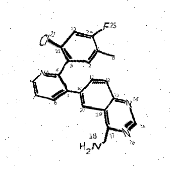 Cc1cc(-c2ncccc2-c2ccc3ncnc(N)c3c2)c(Cl)cc1F